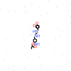 CCC(C)(C)S(=O)(=O)NC1CCC(CNCCNCc2ccc(OC)c(OC)c2)CC1